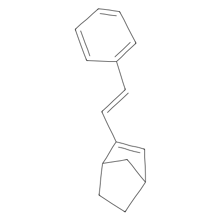 C(=Cc1ccccc1)C1=CC2CCC1C2